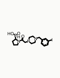 O=C(CN1CCN(Cc2cccc(I)c2)CC1)N1CCCC1B(O)O